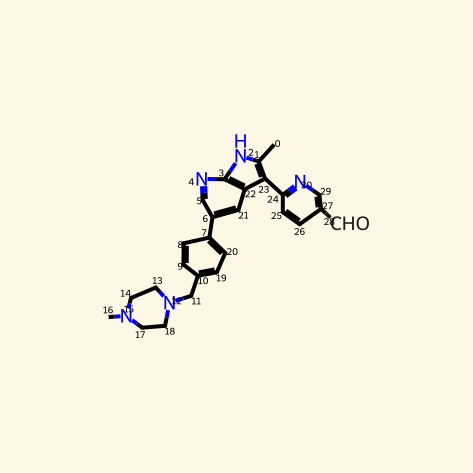 Cc1[nH]c2ncc(-c3ccc(CN4CCN(C)CC4)cc3)cc2c1-c1ccc(C=O)cn1